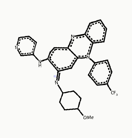 COC1CCC(/N=c2\cc3n(-c4ccc(C(F)(F)F)cc4)c4ccccc4nc-3cc2Nc2cccnc2)CC1